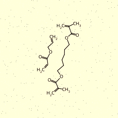 C=C(C)C(=O)OCCCCCCOC(=O)C(=C)C.C=CCOC(=O)C=C